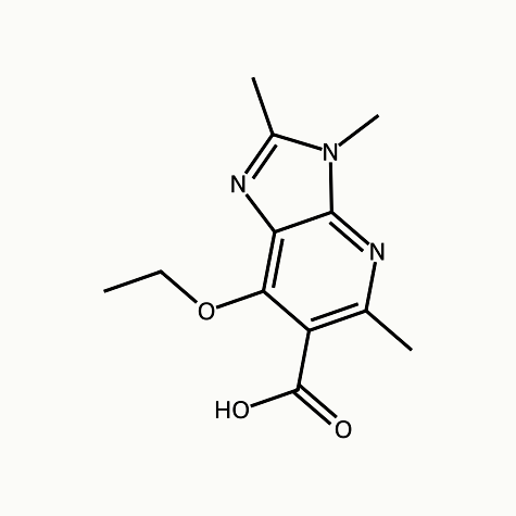 CCOc1c(C(=O)O)c(C)nc2c1nc(C)n2C